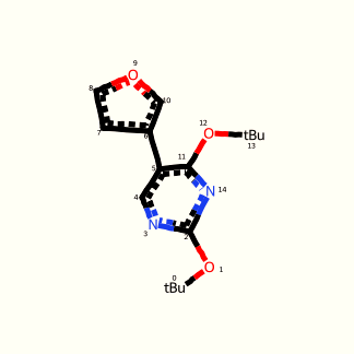 CC(C)(C)Oc1ncc(-c2ccoc2)c(OC(C)(C)C)n1